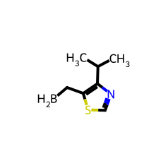 BCc1scnc1C(C)C